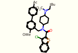 COc1ccc(-c2ccc(C(C)=O)cc2)cc1CN(C(=O)c1sc2ccccc2c1Cl)C1CCC(N(CC(C)(C)C)C(=O)O)CC1